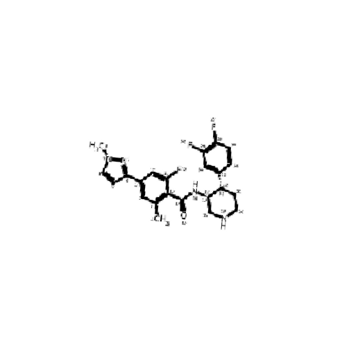 Cc1cc(-c2ccn(C)n2)cc(F)c1C(=O)N[C@@H]1CNCC[C@H]1c1ccc(F)c(F)c1